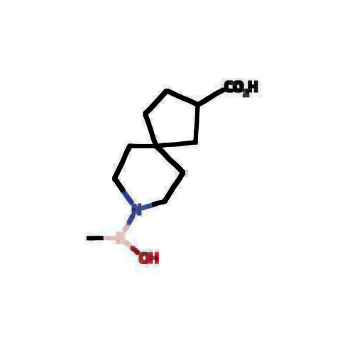 CB(O)N1CCC2(CCC(C(=O)O)C2)CC1